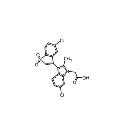 Cc1c(C2=CS(=O)(=O)c3ccc(Cl)cc32)c2ccc(Cl)cc2n1CC(=O)O